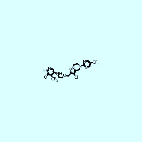 C[C@@H](COCc1nn2c(c1Cl)CN(c1ncc(C(F)(F)F)cn1)CC2)Nc1cn[nH]c(=O)c1C(F)(F)F